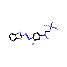 CCN(CC[N+](C)(C)C)c1ccc(/N=N/c2nc3ccccc3s2)cc1.[Br-]